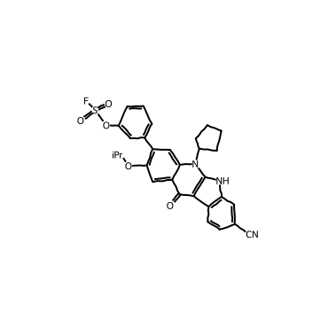 CC(C)Oc1cc2c(=O)c3c4ccc(C#N)cc4[nH]c3n(C3CCCC3)c2cc1-c1cccc(OS(=O)(=O)F)c1